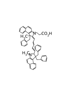 C[N+]1=C(/C=C/C=C/C=C2/N(CCC(=O)O)c3ccc4ccccc4c3C2(C)Cc2ccccc2)C(Cc2ccccc2)(Cc2ccccc2)c2c1ccc1ccccc21